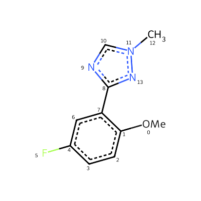 COc1ccc(F)cc1-c1ncn(C)n1